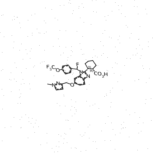 Cn1ccc(COc2ccc3nc([C@H]4CCCC[C@H]4C(=O)O)n(C(F)c4ccc(OC(F)(F)F)cc4)c3c2)n1